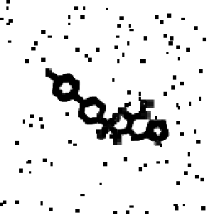 O=C(NO)[C@@H](Cc1cccs1)NS(=O)(=O)N1CC=C(c2ccc(F)cc2)CC1